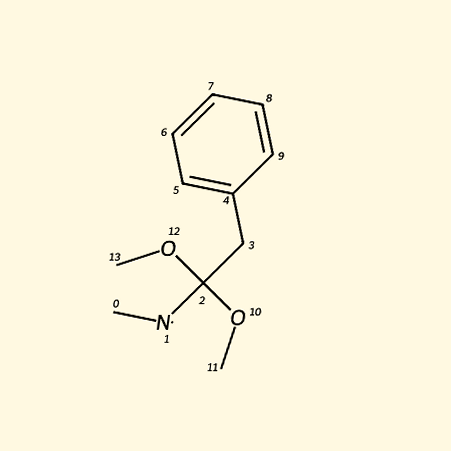 C[N]C(Cc1ccccc1)(OC)OC